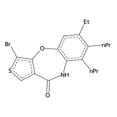 CCCc1c(CC)cc2c(c1CCC)NC(=O)c1csc(Br)c1O2